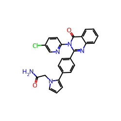 NC(=O)Cn1cccc1-c1ccc(-c2nc3ccccc3c(=O)n2-c2ccc(Cl)cn2)cc1